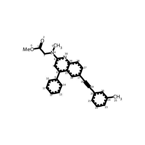 COC(=O)CN(C)c1cc(-c2ccccc2)c2cc(C#Cc3cccc(C)c3)ccc2n1